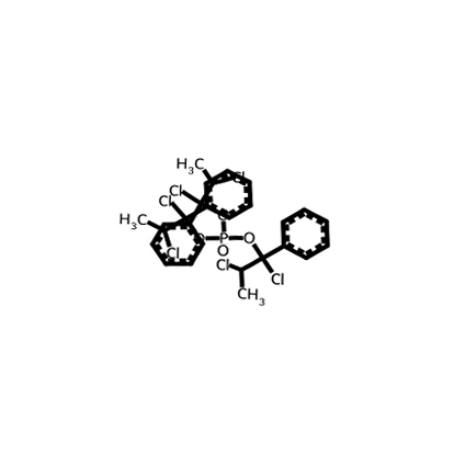 CC(Cl)C(Cl)(OP(=O)(OC(Cl)(c1ccccc1)C(C)Cl)OC(Cl)(c1ccccc1)C(C)Cl)c1ccccc1